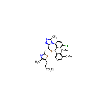 CCOC(=O)CCc1sc(C[C@H]2S[C@H](c3cccc(OC)c3OC)c3cc(Cl)ccc3-n3c2nnc3C(F)(F)F)nc1C